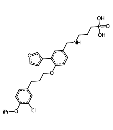 CC(C)Oc1ccc(CCCOc2ccc(CNCCCP(=O)(O)O)cc2-c2ccoc2)cc1Cl